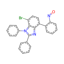 O=Nc1ccccc1-c1ccc(Br)c2c1nc(-c1ccccc1)n2-c1ccccc1